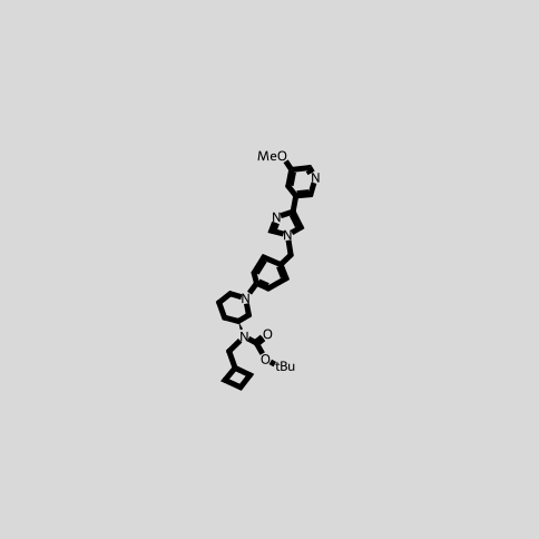 COc1cncc(-c2cn(Cc3ccc(N4CCC[C@@H](N(CC5CCC5)C(=O)OC(C)(C)C)C4)cc3)cn2)c1